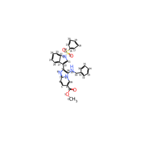 COC(=O)c1ccc2nc(-c3cn(S(=O)(=O)c4ccccc4)c4ccccc34)c(NCc3ccccc3)n2c1